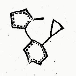 Cn1cccc1-c1cnccc1C1CC1